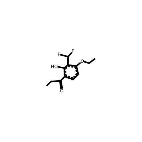 CCOc1ccc(C(=O)CC)c(O)c1C(F)F